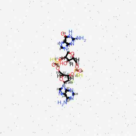 Nc1nc2c(ncn2[C@@H]2O[C@@H]3CO[P@](=O)(S)O[C@H]4[C@H](F)[C@H](n5cnc6c(N)ncnc65)O[C@@H]4CO[P@@](=O)(S)O[C@@H]2[C@@H]3O)c(=O)[nH]1